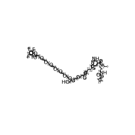 CCCN(CCCNC(=O)OC1CCC1)C(=O)C1=Cc2sc(CCC3CN(C(=O)CCOCCOC(CO)OCCOCCOCCOCCOCCOCCOCCC(=O)Oc4c(F)c(F)cc(F)c4F)C3)cc2N=C(N)C1